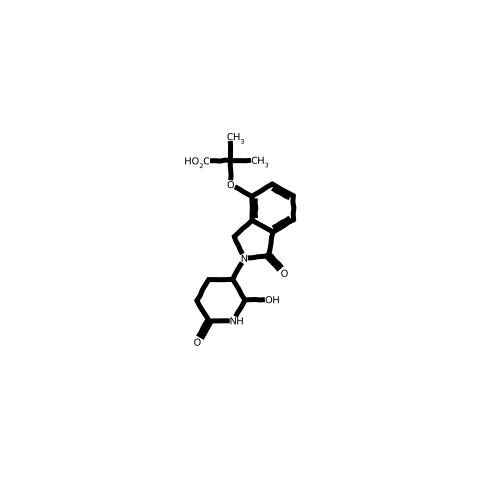 CC(C)(Oc1cccc2c1CN(C1CCC(=O)NC1O)C2=O)C(=O)O